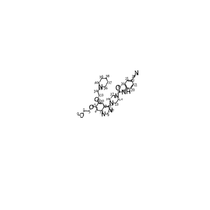 COCCOc1cc2ncnc(N3CCN(C(=O)Nc4ccc(C#N)cc4)CC3)c2cc1OCCN1CCCCC1